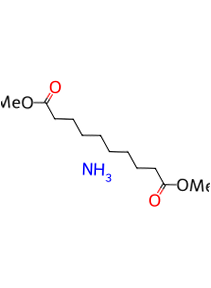 COC(=O)CCCCCCCCC(=O)OC.N